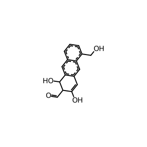 O=CC1C(O)=Cc2cc3c(CO)cccc3cc2C1O